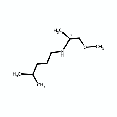 COC[C@H](C)NCCCC(C)C